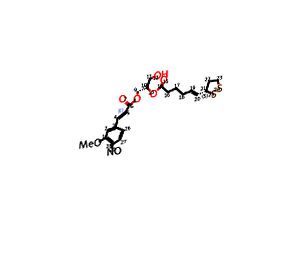 COc1cc(/C=C/C(=O)OC[C@H](CO)OC(=O)CCCC=C[C@@H]2CCSS2)ccc1N=O